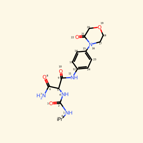 CC(C)NC(=O)N[C@@H](C(N)=O)C(=O)Nc1ccc(N2CCOCC2=O)cc1